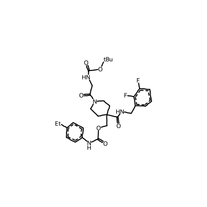 CCc1ccc(NC(=O)OCC2(C(=O)NCc3cccc(F)c3F)CCN(C(=O)CNC(=O)OC(C)(C)C)CC2)cc1